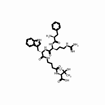 CC(C)(S)[C@H](NC(=O)CCCNC(=O)[C@H](Cc1c[nH]c2ccccc12)NC(=O)[C@H](CCCNC(=N)N)NC(=O)[C@@H](N)Cc1ccccc1)C(=O)O